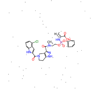 C[C@H](NP(=O)(OCCN(C)C(=O)c1n[nH]c2c1CN(C(=O)c1cc3c(Cl)cccc3[nH]1)CC2)Oc1ccccc1)C(=O)O